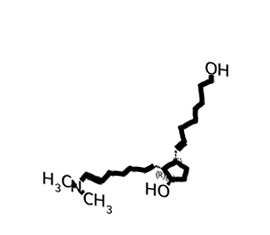 CN(C)C=CCCCCC[C@H]1[C@H](O)CC[C@H]1C=CCCCCCCO